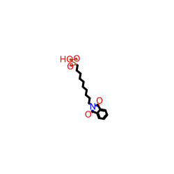 O=C1c2ccccc2C(=O)N1CCCCCCCCCCS(=O)(=O)O